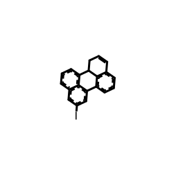 Ic1cc2c3c(cccc3c1)C1CC=Cc3cccc-2c31